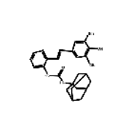 CC(C)(C)c1cc(/C=C/c2ccccc2NC(=O)NC23CC4CC(CC(C4)C2)C3)cc(C(C)(C)C)c1O